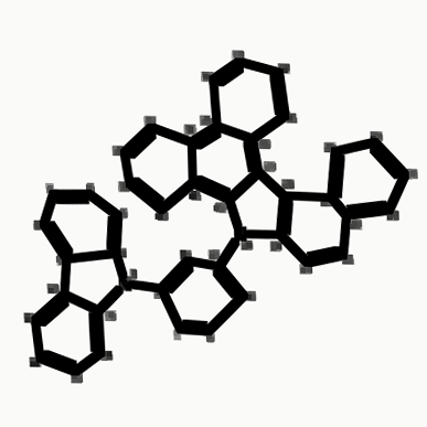 c1cc(-n2c3ccccc3c3ccccc32)cc(-n2c3ccc4ccccc4c3c3c4ccccc4c4ccccc4c32)c1